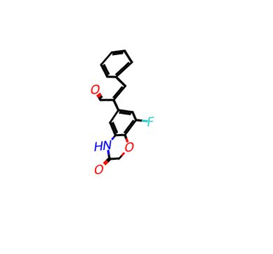 O=CC(=Cc1ccccc1)c1cc(F)c2c(c1)NC(=O)CO2